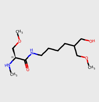 CN[C@@H](COC)C(=O)NCCCCC(CO)COC